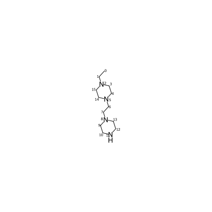 CCN1CCN(CCN2CCNCC2)CC1